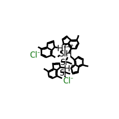 Cc1ccc(C)c2c1C=C[CH]2[Hf+2]([CH]1C=Cc2c(C)ccc(C)c21)[SiH](C)C.Cc1ccc(C)c2c1C=C[CH]2[Hf]([CH]1C=Cc2c(C)ccc(C)c21)([Si](C)(C)C)[Si](C)(C)C.[Cl-].[Cl-]